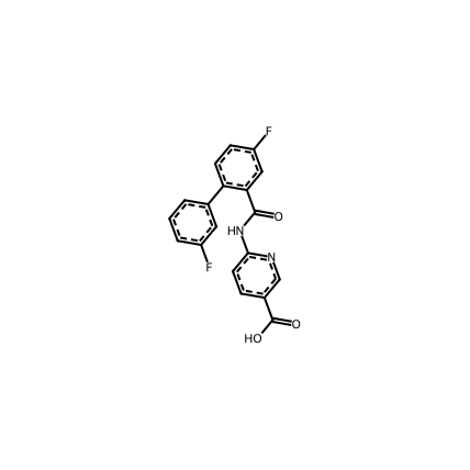 O=C(O)c1ccc(NC(=O)c2cc(F)ccc2-c2cccc(F)c2)nc1